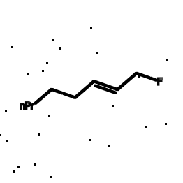 CCCCCC=CCF